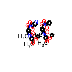 COc1ccc(N2C(=O)c3cc(C(=O)N4C(=O)c5ccccc5C4=O)ccc3C2C)cc1OC1CCCC1.COc1ccc(N2C(=O)c3cc(C(=O)N4C(=O)c5ccncc5C4=O)ccc3C2C)cc1OC1CCCC1